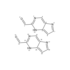 O=Cc1ncc2nccc-2[nH]1.O=Cc1ncc2nccc-2[nH]1